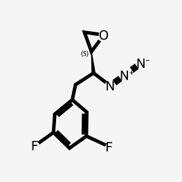 [N-]=[N+]=NC(Cc1cc(F)cc(F)c1)[C@H]1CO1